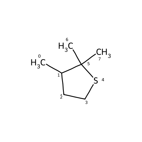 CC1[CH]CSC1(C)C